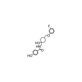 O=C(NCC1(O)CCC(COc2cccc(F)c2)CC1)c1ccc(O)cc1